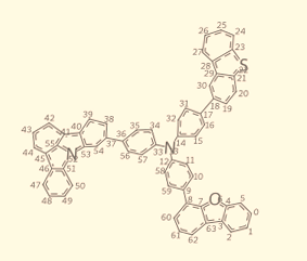 c1ccc2c(c1)oc1c(-c3ccc(N(c4ccc(-c5ccc6sc7ccccc7c6c5)cc4)c4ccc(-c5ccc6c7cccc8c9ccccc9n(c6c5)c87)cc4)cc3)cccc12